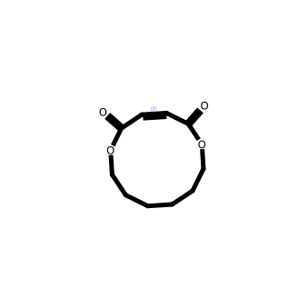 O=C1/C=C\C(=O)OCCCCCCO1